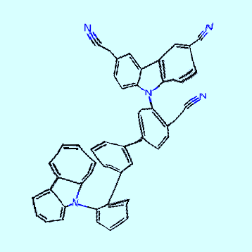 N#Cc1ccc2c(c1)c1cc(C#N)ccc1n2-c1cc(-c2cccc(-c3ccccc3-n3c4ccccc4c4ccccc43)c2)ccc1C#N